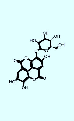 O=c1oc2c(OC3O[C@H](CO)[C@@H](O)[C@H](O)[C@@H]3O)c(O)cc3c(=O)oc4c(O)c(O)cc1c4c23